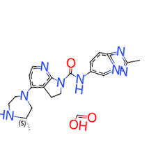 Cc1nc2ccc(NC(=O)N3CCc4c(N5CCN[C@@H](C)C5)ccnc43)cn2n1.O=CO